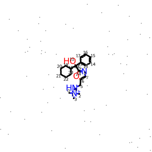 C[N+](C)(C)NCc1cnc([C@@](O)(c2ccccc2)C2CCCCC2)o1